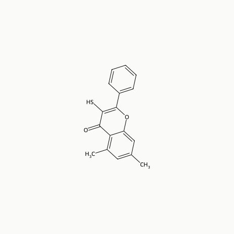 Cc1cc(C)c2c(=O)c(S)c(-c3ccccc3)oc2c1